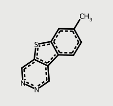 Cc1ccc2c(c1)sc1cnncc12